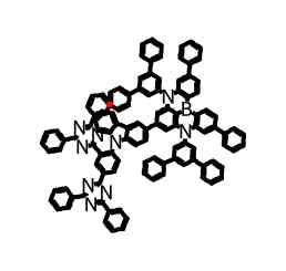 c1ccc(-c2cc(-c3ccccc3)cc(N3c4cc(-c5ccccc5)ccc4B4c5ccc(-c6ccccc6)cc5N(c5cc(-c6ccccc6)cc(-c6ccccc6)c5)c5cc(-c6ccc7c(c6)c6ccccc6n7-c6ccc(-c7nc(-c8ccccc8)nc(-c8ccccc8)n7)cc6-c6nc(-c7ccccc7)nc(-c7ccccc7)n6)cc3c54)c2)cc1